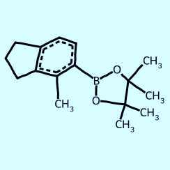 Cc1c(B2OC(C)(C)C(C)(C)O2)ccc2c1CCC2